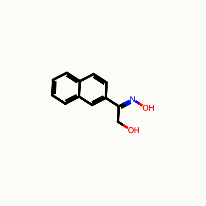 OCC(=NO)c1ccc2ccccc2c1